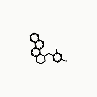 Fc1ccc(CC2CCCc3ccc4c(ccc5ccccc54)c32)c(F)c1